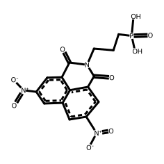 O=C1c2cc([N+](=O)[O-])cc3cc([N+](=O)[O-])cc(c23)C(=O)N1CCCP(=O)(O)O